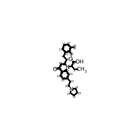 CCC(C(=O)O)n1c(CCc2cccc(F)c2F)cc(=O)c2ccc(CCN3CCCC3)cc21